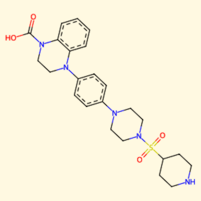 O=C(O)N1CCN(c2ccc(N3CCN(S(=O)(=O)C4CCNCC4)CC3)cc2)c2ccccc21